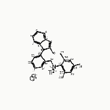 CC1=Cc2ccccc2C1c1ccccc1C[N]([Ti+2])c1c(C)cc(C)cc1C.[Cl-].[Cl-]